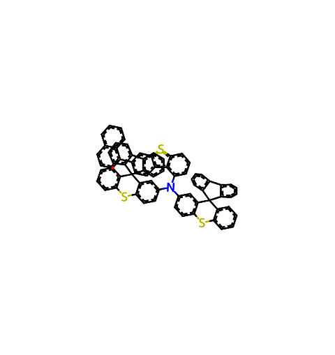 c1ccc2c(c1)Sc1ccc(N(c3ccc4c(c3)C3(c5ccccc5S4)c4ccccc4-c4ccccc43)c3cccc4sc5cc(-c6cccc7ccccc67)ccc5c34)cc1C21c2ccccc2-c2ccccc21